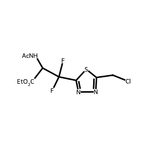 CCOC(=O)C(NC(C)=O)C(F)(F)c1nnc(CCl)s1